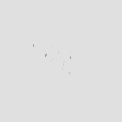 Cc1ccc(-c2ncc(C)cc2F)cc1